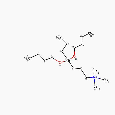 CCCCO[Si](CCC)(CCC[N+](C)(C)C)OCCCC